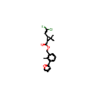 Cc1c(COC(=O)C2C(C=C(Cl)Cl)C2(C)C)cccc1-c1ccco1